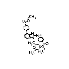 CCOC(=O)N1CC=C(c2cccn3nc(Nc4ccc(C(=O)N(CC)N5CC(C)OC(C)C5)cc4)nc23)CC1